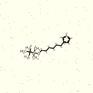 CC(C)(C)[Si](C)(C)OCCCCCCc1ccsc1